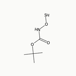 CC(C)(C)OC(=O)NOS